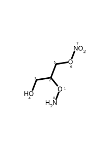 NOC(CO)CO[N+](=O)[O-]